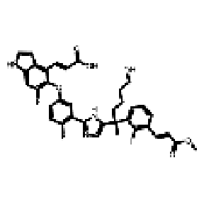 COC(=O)/C=C/c1cccc(C(C)(CCCCO)c2cnc(-c3cc(Oc4c(F)cc5[nH]ccc5c4/C=C/C(=O)O)ccc3F)[nH]2)c1F